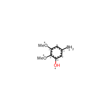 Bc1cc(O)c(OC)c(OC)c1